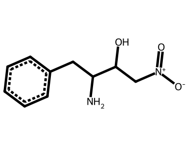 NC(Cc1ccccc1)C(O)C[N+](=O)[O-]